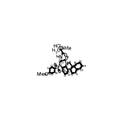 CN[C@@H](C)C(=O)N[C@H]1CN(S(=O)(=O)c2ccc(OC)cc2)c2ccccc2N(Cc2c(C)ccc3ccccc23)C1=O.Cl